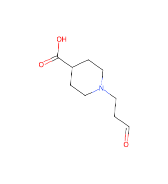 O=CCCN1CCC(C(=O)O)CC1